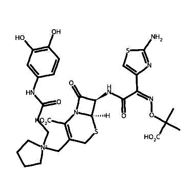 CC(C)(O/N=C(\C(=O)N[C@@H]1C(=O)N2C(C(=O)O)=C(C[N+]3(CCC(=O)Nc4ccc(O)c(O)c4)CCCC3)CS[C@H]12)c1csc(N)n1)C(=O)O